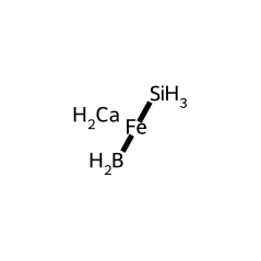 [BH2][Fe][SiH3].[CaH2]